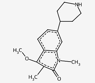 COc1c(C)c(=O)n(C)c2cc(C3CCNCC3)ccc12